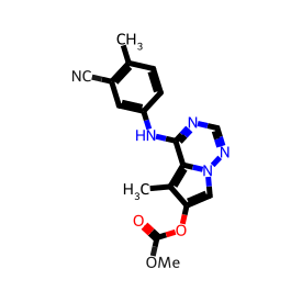 COC(=O)Oc1cn2ncnc(Nc3ccc(C)c(C#N)c3)c2c1C